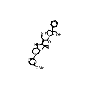 COc1ccnc(N2CCC(N/C(=C(\C=N)C(=O)N3CCC(CO)(c4ccccc4)C3)C3(C)CC3)CC2)n1